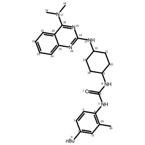 CCCCc1ccc(NC(=O)NC2CCC(Nc3nc(N(C)C)c4ccccc4n3)CC2)c(C)c1